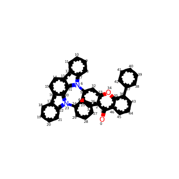 O=c1c2ccc(-n3c4ccccc4c4ccc5c6ccccc6n(-c6ccccc6)c5c43)cc2oc2c(-c3ccccc3)cccc12